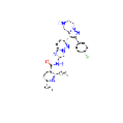 Cc1nc(C(F)(F)F)ccc1C(=O)Nc1cn2nc(-c3c(-c4ccc(F)cc4)nn4c3CNCC4)ccc2n1